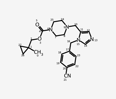 CC1(COC(=O)N2CCN(Cc3cncn3Cc3ccc(C#N)cc3)CC2)CC1